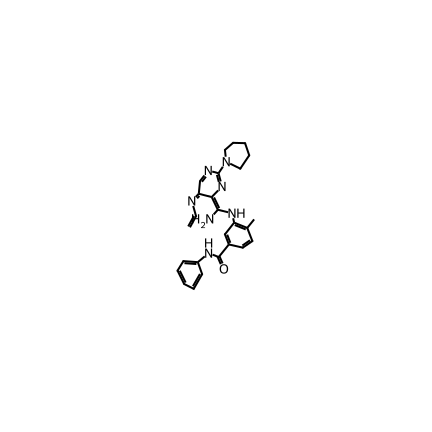 C=C/N=C1/C=NC(N2CCCCC2)=N/C1=C(/N)Nc1cc(C(=O)Nc2ccccc2)ccc1C